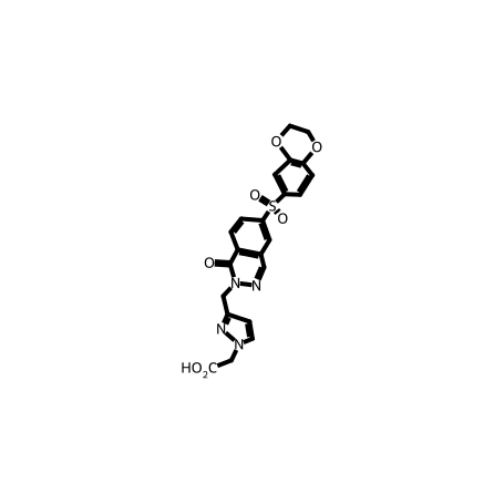 O=C(O)Cn1ccc(Cn2ncc3cc(S(=O)(=O)c4ccc5c(c4)OCCO5)ccc3c2=O)n1